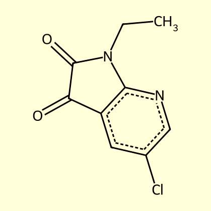 CCN1C(=O)C(=O)c2cc(Cl)cnc21